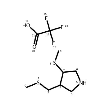 CSCC1CNCC1SC.O=C(O)C(F)(F)F